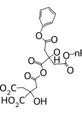 CCCOC(=O)CC(O)(CC(=O)Oc1ccccc1)C(=O)OC(=O)CC(O)(CC(=O)O)C(=O)O